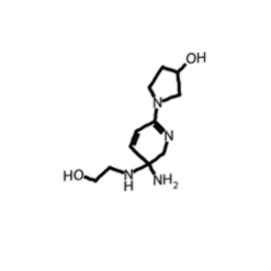 NC1(NCCO)C=CC(N2CCC(O)C2)=NC1